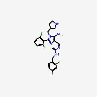 C=C(/N=C\c1nc(-c2c(F)cccc2Cl)n(CC2CCNC2)c1N)NCc1ccc(F)cc1F